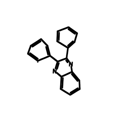 [c]1ccccc1-c1nc2ccccc2nc1-c1ccccc1